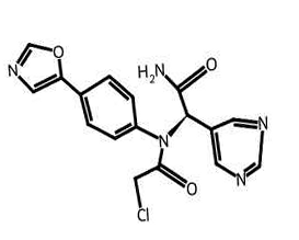 NC(=O)[C@@H](c1cncnc1)N(C(=O)CCl)c1ccc(-c2cnco2)cc1